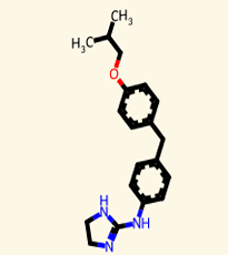 CC(C)COc1ccc(Cc2ccc(NC3=NCCN3)cc2)cc1